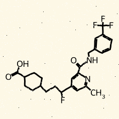 Cc1cc(C(F)CCC2CCC(C(=O)O)CC2)cc(C(=O)NCc2cccc(C(F)(F)F)c2)n1